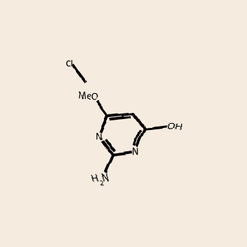 CCl.COc1cc(O)nc(N)n1